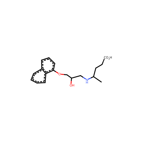 CC(CCC(=O)O)NCC(O)COc1cccc2ccccc12